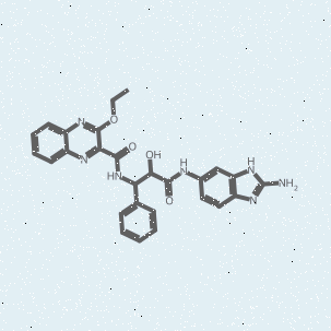 CCOc1nc2ccccc2nc1C(=O)NC(c1ccccc1)C(O)C(=O)Nc1ccc2nc(N)[nH]c2c1